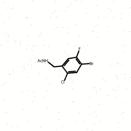 CC(=O)NCc1cc(F)c(Br)cc1Cl